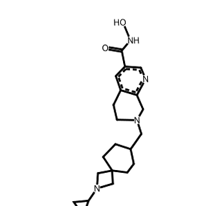 O=C(NO)c1cnc2c(c1)CCN(CC1CCC3(CC1)CN(C1CC1)C3)C2